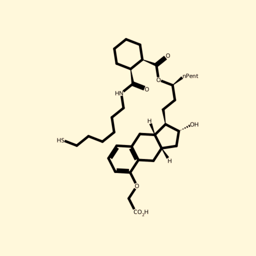 CCCCC[C@@H](CC[C@@H]1[C@H]2Cc3cccc(OCC(=O)O)c3C[C@H]2C[C@H]1O)OC(=O)[C@@H]1CCCC[C@@H]1C(=O)NCCCCCCS